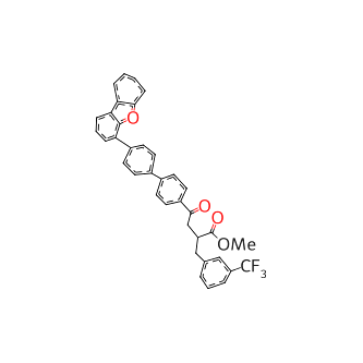 COC(=O)C(CC(=O)c1ccc(-c2ccc(-c3cccc4c3oc3ccccc34)cc2)cc1)Cc1cccc(C(F)(F)F)c1